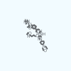 CC(Cn1cnnn1)Oc1cc(-c2cnc(Nc3cn(C4CCC(N5CCOCC5)CC4)nc3OCCCc3ncco3)nc2)ccc1Cl